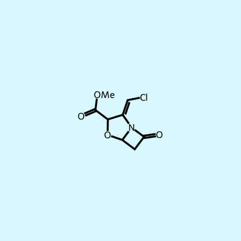 COC(=O)C1OC2CC(=O)N2C1=CCl